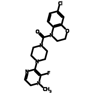 CN1CC=NC(N2CCN(C(=O)N3CCOc4cc(Cl)ccc43)CC2)=C1F